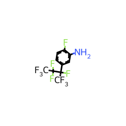 Nc1cc(C(F)(C(F)(F)F)C(F)(F)C(F)(F)F)ccc1F